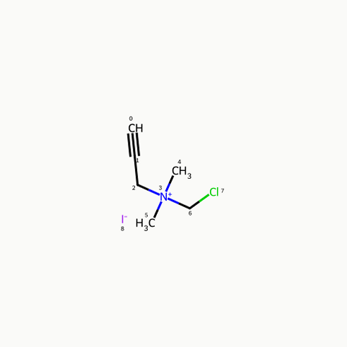 C#CC[N+](C)(C)CCl.[I-]